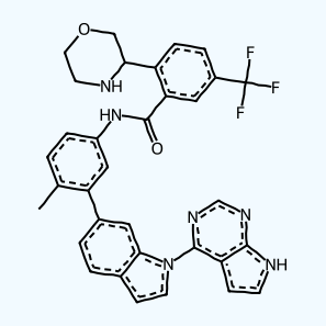 Cc1ccc(NC(=O)c2cc(C(F)(F)F)ccc2C2COCCN2)cc1-c1ccc2ccn(-c3ncnc4[nH]ccc34)c2c1